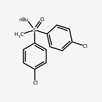 CCCCS(C)(=O)(c1ccc(Cl)cc1)c1ccc(Cl)cc1